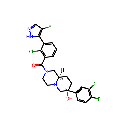 O=C(c1cccc(-c2[nH]ncc2F)c1Cl)N1CCN2C[C@@](O)(c3ccc(F)c(Cl)c3)CC[C@@H]2C1